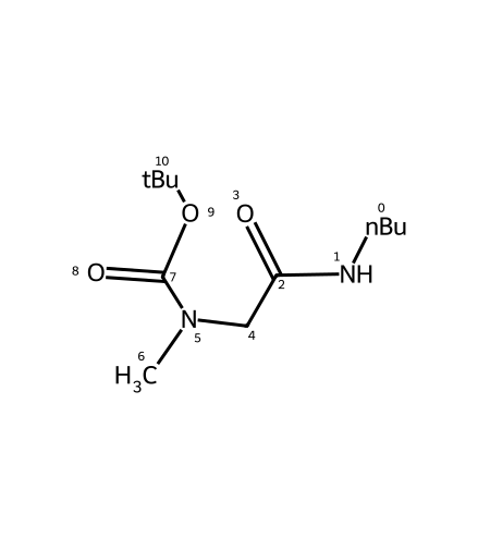 CCCCNC(=O)CN(C)C(=O)OC(C)(C)C